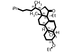 CCO[C@H]1CC[C@@]2(C)[C@@H](CC=C3[C@@H]2CC[C@]2(C)[C@@H]([C@H](C)CCCC(C)C)CC(=O)[C@@]32CC)C1